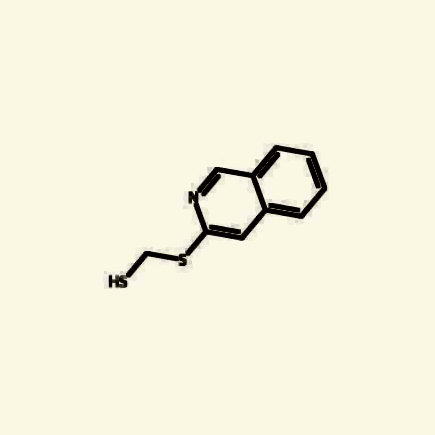 SCSc1cc2ccccc2cn1